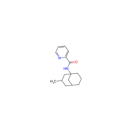 CC1CC2CCCC(NC(=O)c3ccccn3)(C1)C2